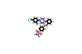 CN(C)S(=O)(=O)c1ccc(SCc2ccccc2N2CCN(c3ccc(Cl)cc3F)CC2)cc1